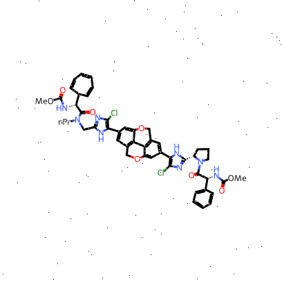 CCCN(Cc1nc(Cl)c(-c2cc3c4c(c2)OCc2cc(-c5[nH]c([C@@H]6CCCN6C(=O)[C@H](NC(=O)OC)c6ccccc6)nc5Cl)cc(c2-4)OC3)[nH]1)C(=O)[C@H](NC(=O)OC)C1C=CC=CC=C1